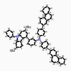 CC(C)(C)c1ccc2c3c(-c4cccc(N(c5ccc(-c6ccc7c(ccc8ccccc87)c6)cc5)c5ccc(-c6ccc7c(ccc8ccccc87)c6)cc5)c4)cc(C(C)(C)C)cc3n(-c3ccccc3)c2c1